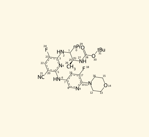 CCCC(Nc1nc(Nc2cnc(N3CCOCC3)c(F)c2)c(C#N)cc1F)[C@H](C)NC(=O)OC(C)(C)C